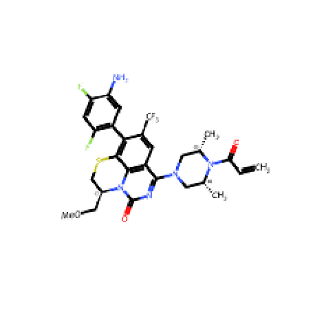 C=CC(=O)N1[C@H](C)CN(c2nc(=O)n3c4c(c(-c5cc(N)c(F)cc5F)c(C(F)(F)F)cc24)SC[C@@H]3COC)C[C@@H]1C